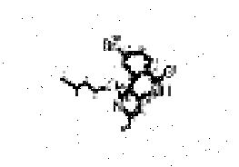 CCCCOc1nc(C)cc2[nH]c(=O)c3ccc(Br)cc3c12